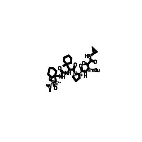 CCCC[C@H](NC(=O)[C@@H]1CCCN1C(=O)[C@@H](NC(=O)NC1([C@H](C)S(=O)(=O)N(C)C)CCCCC1)C1(C)CCCCC1)C(=O)C(=O)NC1CC1